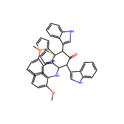 COc1ccccc1NC(c1cccs1)C(C(=O)C(c1c[nH]c2ccccc12)C(Nc1ccccc1OC)c1cccs1)c1c[nH]c2ccccc12